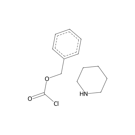 C1CCNCC1.O=C(Cl)OCc1ccccc1